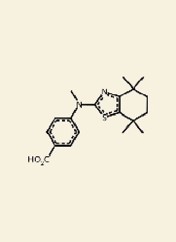 CN(c1ccc(C(=O)O)cc1)c1nc2c(s1)C(C)(C)CCC2(C)C